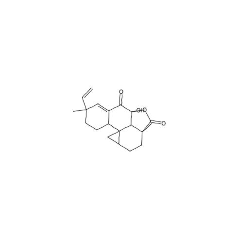 C=CC1(C)C=C2C(=O)C3(O)OC(=O)C4(C)CCC5CC5(C2CC1)C43